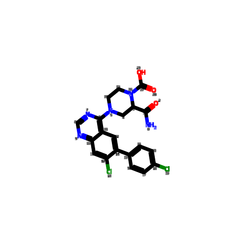 NC(=O)C1CN(c2ncnc3cc(Cl)c(-c4ccc(Cl)cc4)cc23)CCN1C(=O)O